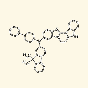 CC1(C)c2ccccc2-c2ccc(N(c3ccc(-c4ccccc4)cc3)c3ccc4sc5c(ccc6[nH]c7ccccc7c65)c4c3)cc21